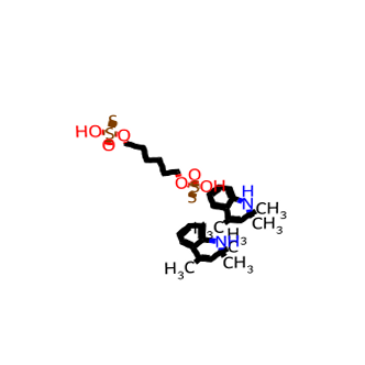 CC1=CC(C)(C)Nc2ccccc21.CC1=CC(C)(C)Nc2ccccc21.O=S(O)(=S)OCCCCCCOS(=O)(O)=S